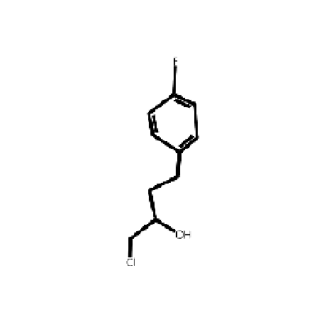 OC(CCl)CCc1ccc(F)cc1